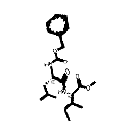 CCC(C)[C@H](NC(=O)[C@H](CC(C)C)NC(=O)OCc1ccccc1)C(=O)OC